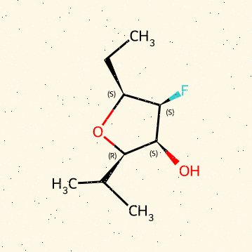 CC[C@@H]1O[C@H](C(C)C)[C@H](O)[C@@H]1F